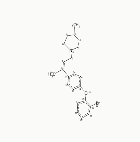 CC(=CCN1CCC(C)CC1)c1ccc(Oc2ccccc2Br)cc1